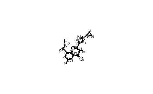 Cc1cc([C@@H](C)N)c2oc(-c3cnn(C4CC4)c3)c(C)c(=O)c2c1